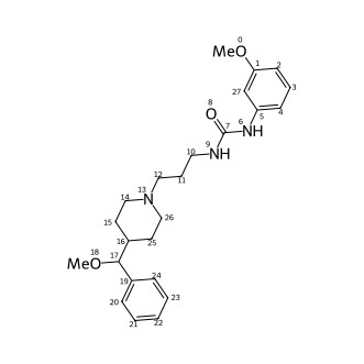 COc1cccc(NC(=O)NCCCN2CCC(C(OC)c3ccccc3)CC2)c1